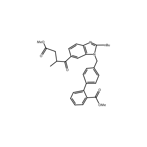 CCCCc1nc2ccc(C(=O)C(C)CC(=O)OC)cc2n1Cc1ccc(-c2ccccc2C(=O)OC)cc1